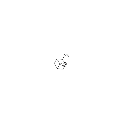 C[C]1CCC2CC1C2(C)C